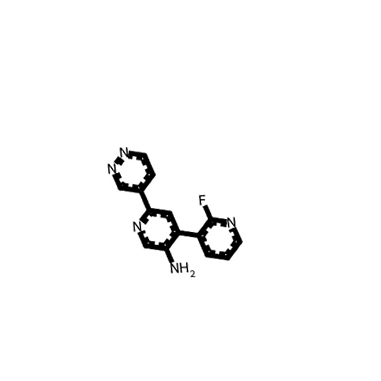 Nc1cnc(-c2ccnnc2)cc1-c1cccnc1F